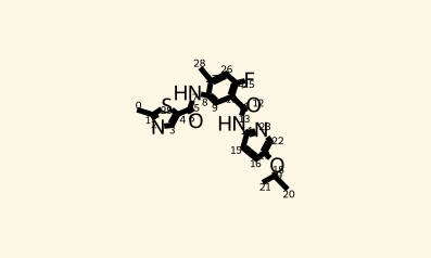 Cc1ncc(C(=O)Nc2cc(C(=O)Nc3ccc(OC(C)C)cn3)c(F)cc2C)s1